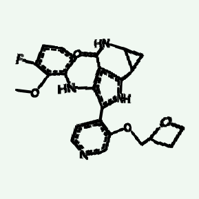 COc1c(F)cccc1Nc1c(-c2ccncc2OCC2CCO2)[nH]c2c1C(=O)NC1CC21